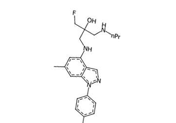 CCCNCC(O)(CF)CNc1cc(C)cc2c1cnn2-c1ccc(F)cc1